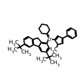 CC1C=C(c2ccccc2)C=[C]1[Zr](=[C]1CCCCC1)[c]1cc(C(C)(C)C)cc2c1Cc1ccc(C(C)(C)C)cc1-2